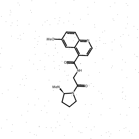 CN[C@@H]1CCCN1C(=O)CNC(=O)c1ccnc2ccc(OC)cc12